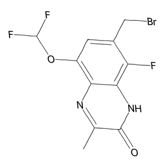 Cc1nc2c(OC(F)F)cc(CBr)c(F)c2[nH]c1=O